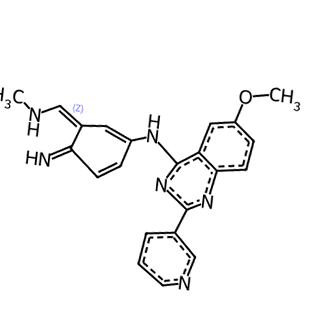 CN/C=C1/C=C(Nc2nc(-c3cccnc3)nc3ccc(OC)cc23)C=CC1=N